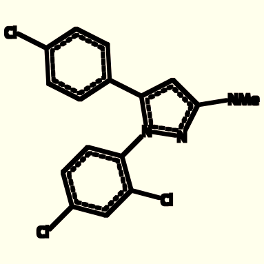 CNc1cc(-c2ccc(Cl)cc2)n(-c2ccc(Cl)cc2Cl)n1